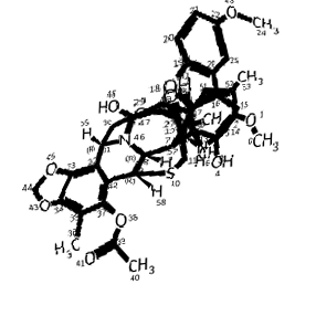 COC1=C(O)C2(C)C3[C@@H]4[C@@H]5SC[C@]6(NCCc7c6oc6ccc(OC)cc76)C(=O)OC[C@@H](c6c7c(c(C)c(OC(C)=O)c65)OCO7)N4C(O)(C[C@@H]2C=C1C)CN3C